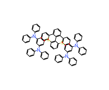 c1ccc(-c2cccc(-c3ccccc3)c2-c2c(Sc3cc(N(c4ccccc4)c4ccccc4)cc(N(c4ccccc4)c4ccccc4)c3)cccc2Sc2cc(N(c3ccccc3)c3ccccc3)cc(N(c3ccccc3)c3ccccc3)c2)cc1